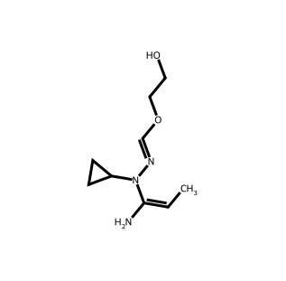 C/C=C(/N)N(/N=C/OCCO)C1CC1